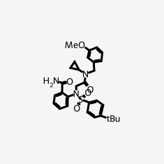 COc1cccc(CN(C(=O)CN(c2ccccc2C(N)=O)S(=O)(=O)c2ccc(C(C)(C)C)cc2)C2CC2)c1